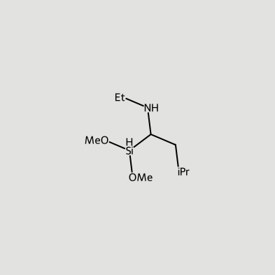 CCNC(CC(C)C)[SiH](OC)OC